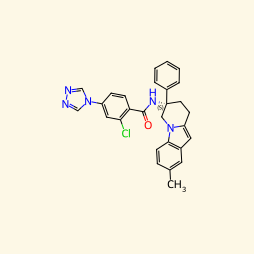 Cc1ccc2c(c1)cc1n2C[C@@](NC(=O)c2ccc(-n3cnnc3)cc2Cl)(c2ccccc2)CC1